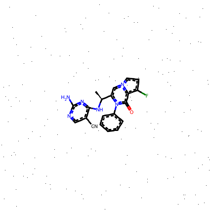 C[C@H](Nc1nc(N)ncc1C#N)c1cn2ccc(F)c2c(=O)n1-c1ccccc1